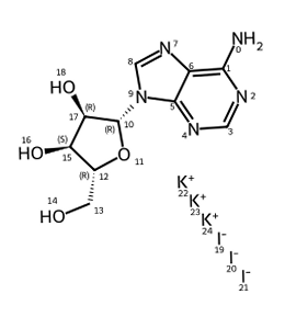 Nc1ncnc2c1ncn2[C@@H]1O[C@H](CO)[C@@H](O)[C@H]1O.[I-].[I-].[I-].[K+].[K+].[K+]